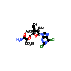 C#C[C@@]1(OC(C)=O)[C@@H](COC(C(N)=O)C(=O)OCC)O[C@@H](n2cnc3c(Cl)nc(Cl)nc32)[C@@H]1OC(C)=O